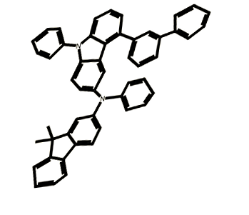 CC1(C)c2ccccc2-c2ccc(N(c3ccccc3)c3ccc4c(c3)c3c(-c5cccc(-c6ccccc6)c5)cccc3n4-c3ccccc3)cc21